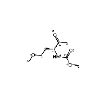 COCC[C@H](NC(=O)OC)C(C)=O